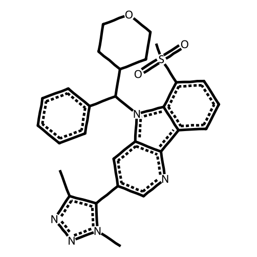 Cc1nnn(C)c1-c1cnc2c3cccc(S(C)(=O)=O)c3n(C(c3ccccc3)C3CCOCC3)c2c1